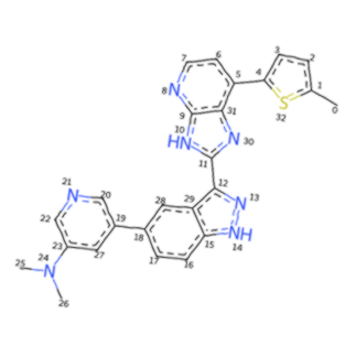 Cc1ccc(-c2ccnc3[nH]c(-c4n[nH]c5ccc(-c6cncc(N(C)C)c6)cc45)nc23)s1